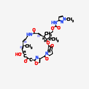 CC1=C\[C@@H](O)CC(=O)Cc2nc(co2)C(=O)N2CCC[C@@H]2C(=O)O[C@H]([C@H](C)CCOC(=O)Nc2ccn(C)n2)[C@H](C)/C=C/C(=O)NC\C=C\1